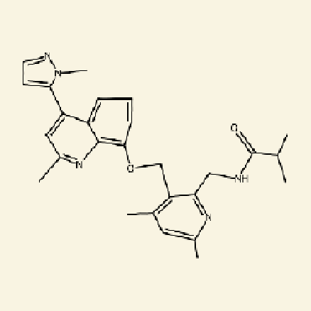 Cc1cc(C)c(COc2cccc3c(-c4ccnn4C)cc(C)nc23)c(CNC(=O)C(C)C)n1